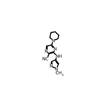 Cn1cc(Nc2nc(N3CCCCC3)cnc2C#N)cn1